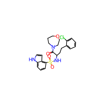 O=C(C(CCc1ccccc1Cl)NS(=O)(=O)c1cccc2[nH]ccc12)N1CCCOCC1